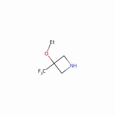 CCOC1(C(F)(F)F)CNC1